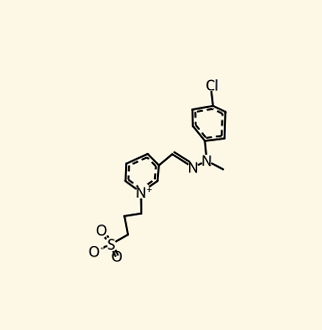 CN(/N=C/c1ccc[n+](CCCS(=O)(=O)[O-])c1)c1ccc(Cl)cc1